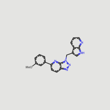 COc1cccc(-c2ccc3nnn(Cc4c[nH]c5ncccc45)c3n2)c1